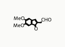 COc1cc2c(cc1OC)C(=O)C(CC=O)=C2